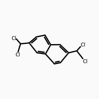 ClC(Cl)c1ccc2cc(C(Cl)Cl)ccc2c1